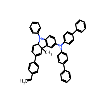 C=Cc1ccc(C2=CC3(C)c4cc(N(c5ccc(-c6ccccc6)cc5)c5ccc(-c6ccccc6)cc5)ccc4N(c4ccccc4)C3C=C2)cc1